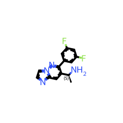 C[C@H](N)c1cc2nccn2nc1-c1cc(F)cc(F)c1